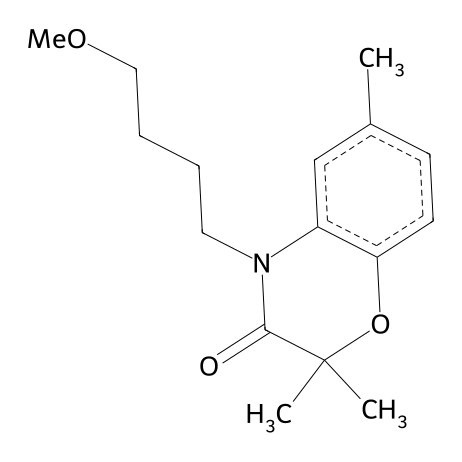 COCCCCN1C(=O)C(C)(C)Oc2ccc(C)cc21